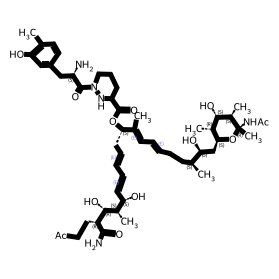 CC(=O)CC[C@@H](C(N)=O)[C@H](O)[C@@H](C)[C@@H](O)/C=C/C=C/C[C@H](OC(=O)C1CCCN(C(=O)[C@@H](N)Cc2ccc(C)c(O)c2)N1)/C(C)=C/C=C/CC[C@H](C)[C@@H](O)C[C@@H]1O[C@@](C)(NC(C)=O)[C@@H](C)[C@@H](O)[C@H]1C